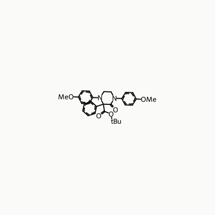 COc1ccc(N2CCN(c3ccc(OC)cc3)C(C(=O)OC(C)(C)C)(c3ccccc3)C2=O)cc1